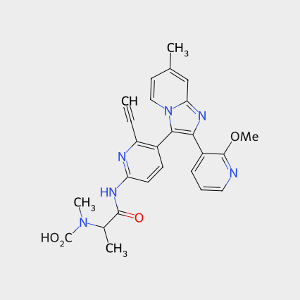 C#Cc1nc(NC(=O)C(C)N(C)C(=O)O)ccc1-c1c(-c2cccnc2OC)nc2cc(C)ccn12